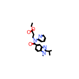 CCOC(=O)CCN(C(=O)c1ccc2c(c1)nc(C(C)C)n2C)c1ccccn1